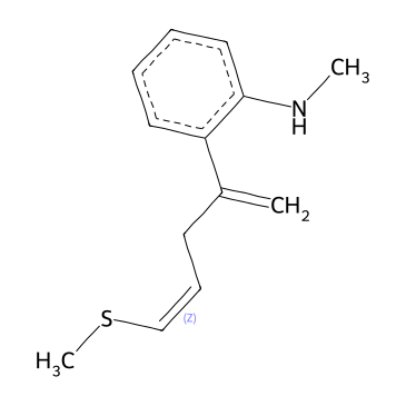 C=C(C/C=C\SC)c1ccccc1NC